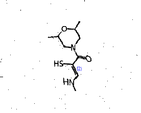 CN/C=C(\S)C(=O)N1CC(C)OC(C)C1